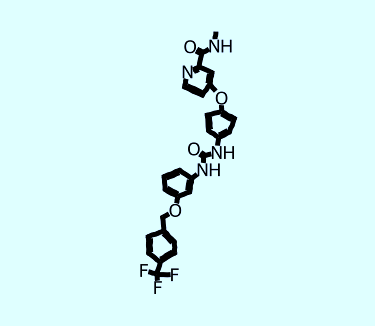 CNC(=O)c1cc(Oc2ccc(NC(=O)Nc3cccc(OCc4ccc(C(F)(F)F)cc4)c3)cc2)ccn1